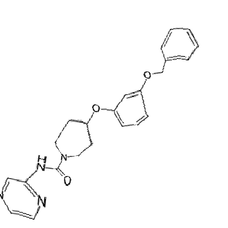 O=C(Nc1cnccn1)N1CCC(Oc2cccc(OCc3ccccc3)c2)CC1